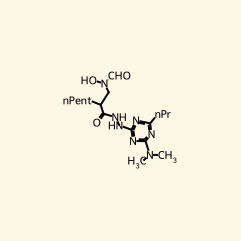 CCCCCC(CN(O)C=O)C(=O)NNc1nc(CCC)nc(N(C)C)n1